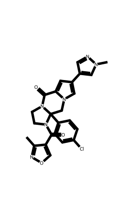 Cc1nocc1C(=O)N1CCN2C(=O)c3cc(-c4cnn(C)c4)cn3CC12c1ccc(Cl)cc1